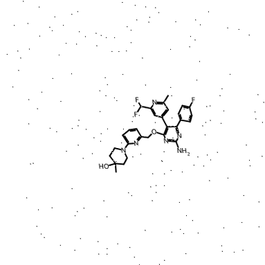 Cc1cc(-c2c(OCc3cccc(N4CCC(C)(O)CC4)n3)nc(N)nc2-c2ccc(F)cc2)cc(C(F)F)n1